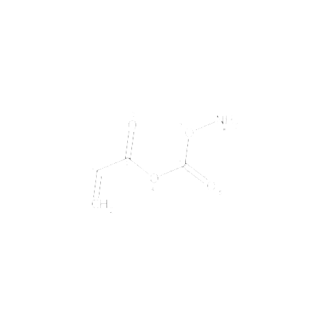 C=CC(=O)OC(=O)ON